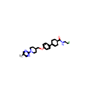 CCc1cnc(N2CCC(COc3ccc(C4=CCC(C(=O)NCCF)CC4)cc3)CC2)nc1